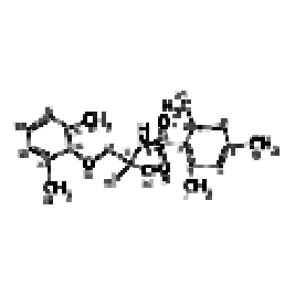 Cc1cc(C)c(S(=O)(=O)NC(I)(COc2c(C)cccc2C)C(F)(F)F)c(C)c1